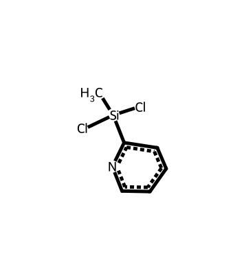 C[Si](Cl)(Cl)c1ccccn1